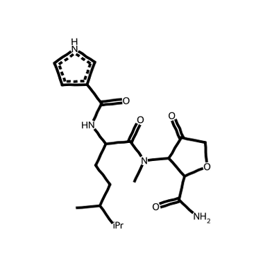 CC(C)C(C)CCC(NC(=O)c1cc[nH]c1)C(=O)N(C)C1C(=O)COC1C(N)=O